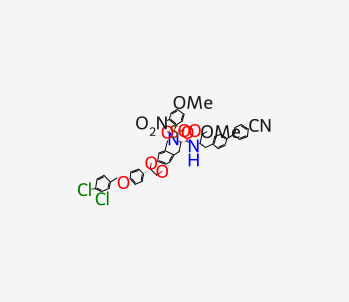 COC(=O)C(Cc1ccc(-c2ccc(C#N)cc2)cc1)NC(=O)[C@@H]1Cc2cc3c(cc2CN1S(=O)(=O)c1ccc(OC)cc1[N+](=O)[O-])O[C@@H](c1ccc(OCc2ccc(Cl)c(Cl)c2)cc1)CO3